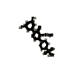 CCCCCCCc1c(N2CCN(S(=O)(=O)C(C)C)CC2)cnn(-c2cc(F)cc(F)c2)c1=O